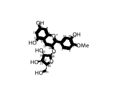 COc1ccc(-c2[o+]c3cc(O)cc(O)c3cc2O[C@H]2O[C@H](CO)[C@@H](O)[C@@H]2O)cc1O